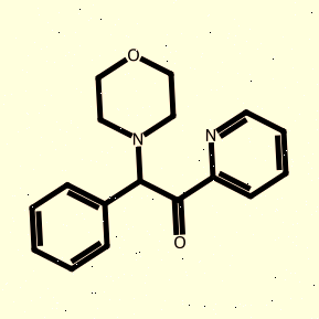 O=C(c1ccccn1)C(c1ccccc1)N1CCOCC1